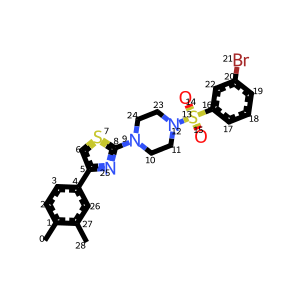 Cc1ccc(-c2csc(N3CCN(S(=O)(=O)c4cccc(Br)c4)CC3)n2)cc1C